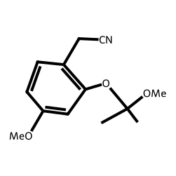 COc1ccc(CC#N)c(OC(C)(C)OC)c1